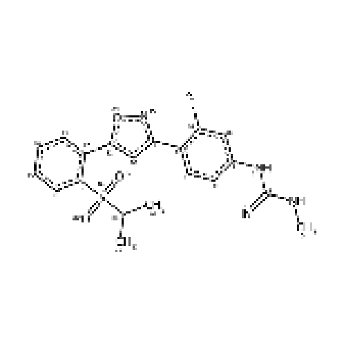 CNC(=N)Nc1ccc(-c2cc(-c3ccc[c]c3S(=O)(=O)C(C)C)on2)c(F)c1